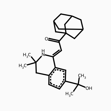 CC1(C)Cc2ccc(C(C)(C)O)cc2C(=CC(=O)C23CC4CC(CC(C4)C2)C3)N1